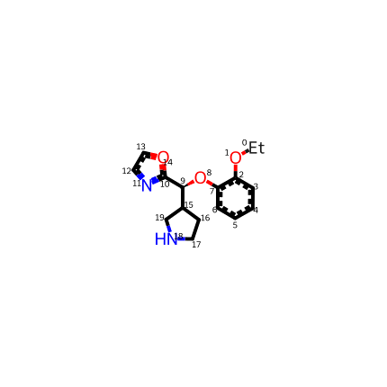 CCOc1ccccc1O[C@H](c1ncco1)C1CCNC1